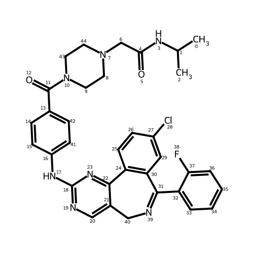 CC(C)NC(=O)CN1CCN(C(=O)c2ccc(Nc3ncc4c(n3)-c3ccc(Cl)cc3C(c3ccccc3F)=NC4)cc2)CC1